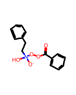 O=C(OO[N+]([O-])(O)CCc1ccccc1)c1ccccc1